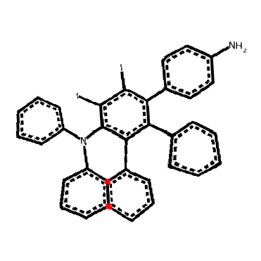 Nc1ccc(-c2c(I)c(I)c(N(c3ccccc3)c3ccccc3)c(-c3ccccc3)c2-c2ccccc2)cc1